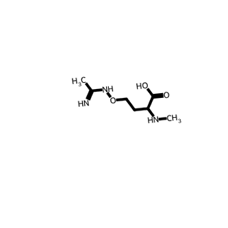 CNC(CCONC(C)=N)C(=O)O